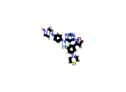 CN1CCN(c2ccc(Nc3cc(N4OCCC4c4cc(F)cc(N5CCSCC5)c4)ncn3)cc2)CC1